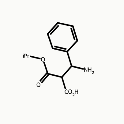 CC(C)OC(=O)C(C(=O)O)C(N)c1ccccc1